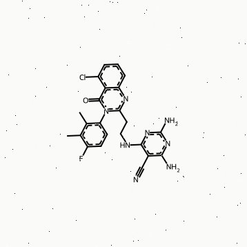 Cc1c(F)ccc(-n2c(CCNc3nc(N)nc(N)c3C#N)nc3cccc(Cl)c3c2=O)c1C